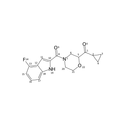 O=C(C1CC1)C1CN(C(=O)c2cc3c(F)cccc3[nH]2)CCO1